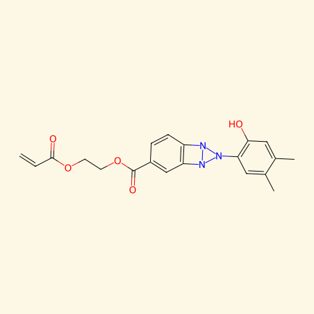 C=CC(=O)OCCOC(=O)c1ccc2c(c1)n1n(-c3cc(C)c(C)cc3O)n21